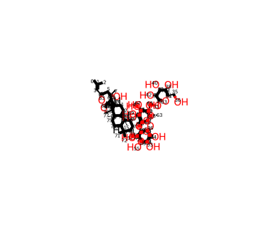 CC(C)=C[C@H]1C[C@](C)(O)[C@@H]2[C@H]3CC[C@@H]4[C@@]5(C)CC[C@H](O[C@@H]6OC[C@H](O)[C@H](O[C@@H]7O[C@H](CO[C@@H]8O[C@H](CO)[C@@H](O)[C@H](O)[C@H]8O)[C@@H](O)[C@H](O)[C@H]7O[C@@H]7OC[C@@H](O)[C@H](O)[C@H]7O)[C@H]6O[C@@H]6O[C@@H](C)[C@@H](O)[C@@H](O)[C@@H]6O)C(C)(C)[C@@H]5CC[C@@]4(C)[C@@]34CO[C@]2(C4)O1